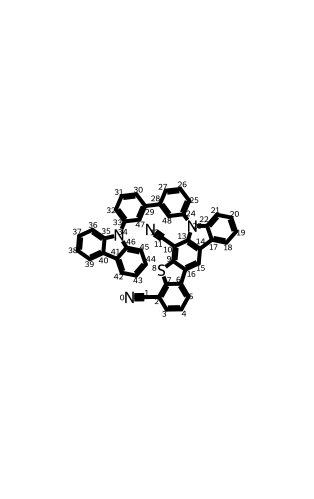 N#Cc1cccc2c1sc1c(C#N)c3c(cc12)c1ccccc1n3-c1cccc(-c2cccc(-n3c4ccccc4c4ccccc43)c2)c1